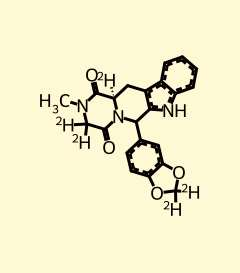 [2H]C1([2H])Oc2ccc(C3c4[nH]c5ccccc5c4C[C@]4([2H])C(=O)N(C)C([2H])([2H])C(=O)N34)cc2O1